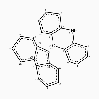 c1ccc2c(c1)Nc1ccccc1O2.c1ccc2c(c1)sc1ccccc12